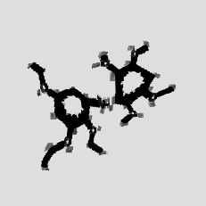 CCOc1cc(N)c(OCC)c(OCC)c1.COc1cc(OC)c(OC)cc1OC